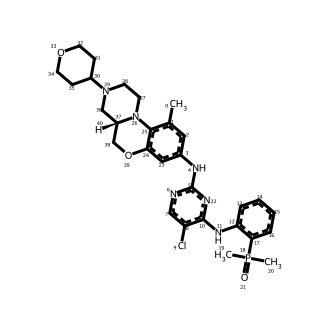 Cc1cc(Nc2ncc(Cl)c(Nc3ccccc3P(C)(C)=O)n2)cc2c1N1CCN(C3CCOCC3)C[C@H]1CO2